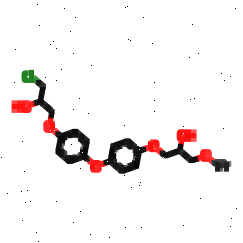 CC(C)OCC(O)COc1ccc(Oc2ccc(OCC(O)CCl)cc2)cc1